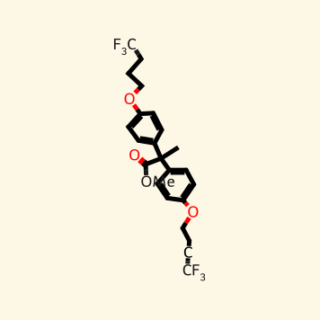 COC(=O)C(C)(c1ccc(OCCCC(F)(F)F)cc1)c1ccc(OCCCC(F)(F)F)cc1